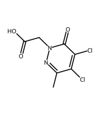 Cc1nn(CC(=O)O)c(=O)c(Cl)c1Cl